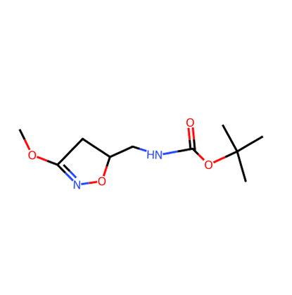 COC1=NOC(CNC(=O)OC(C)(C)C)C1